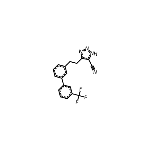 N#Cc1[nH]nnc1CCc1cccc(-c2cccc(C(F)(F)F)c2)c1